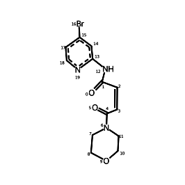 O=C(/C=C\C(=O)N1CCOCC1)Nc1cc(Br)ccn1